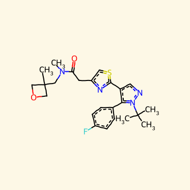 CN(CC1(C)COC1)C(=O)Cc1csc(-c2cnn(C(C)(C)C)c2-c2ccc(F)cc2)n1